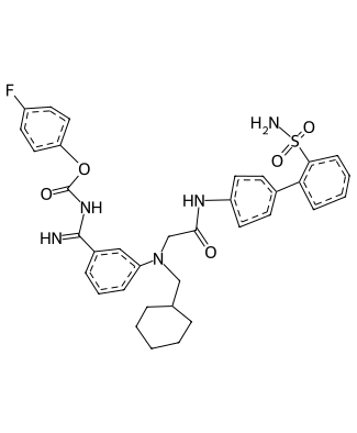 N=C(NC(=O)Oc1ccc(F)cc1)c1cccc(N(CC(=O)Nc2ccc(-c3ccccc3S(N)(=O)=O)cc2)CC2CCCCC2)c1